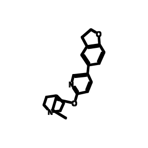 CC1C(Oc2ccc(-c3ccc4c(c3)CCO4)cn2)C2CCN1CC2